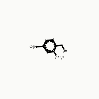 O=[N+]([O-])c1ccc(CBr)c(S(=O)(=O)O)c1